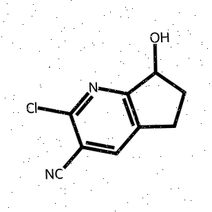 N#Cc1cc2c(nc1Cl)C(O)CC2